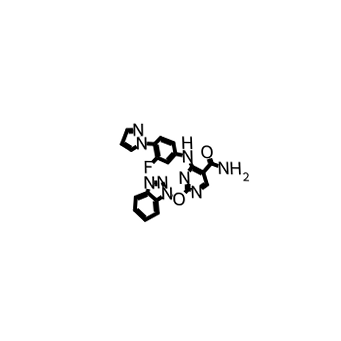 NC(=O)c1cnc(On2nnc3ccccc32)nc1Nc1ccc(-n2cccn2)c(F)c1